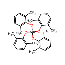 Cc1cccc(C)c1[O][Mo]([O]c1c(C)cccc1C)([O]c1c(C)cccc1C)[O]c1c(C)cccc1C